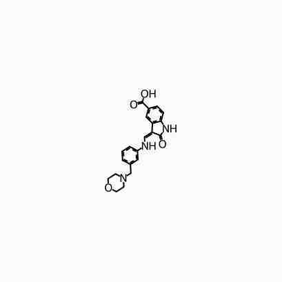 O=C1Nc2ccc(C(=O)O)cc2C1=CNc1cccc(CN2CCOCC2)c1